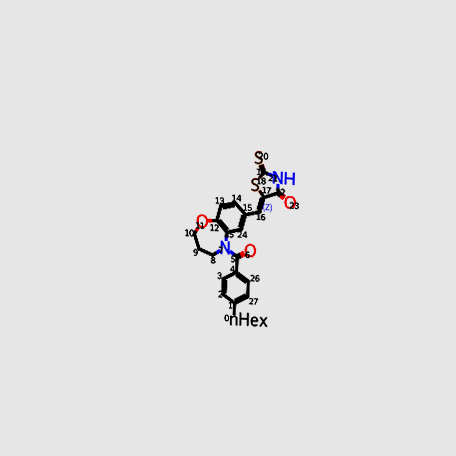 CCCCCCc1ccc(C(=O)N2CCCOc3ccc(/C=C4\SC(=S)NC4=O)cc32)cc1